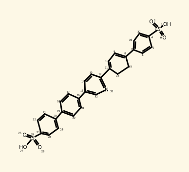 O=S(=O)(O)c1ccc(C2=CC=C(c3ccc(-c4ccc(-c5ccc(S(=O)(=O)O)cc5)cc4)cn3)CC2)cc1